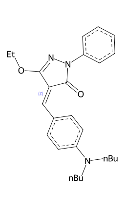 CCCCN(CCCC)c1ccc(/C=C2\C(=O)N(c3ccccc3)N=C2OCC)cc1